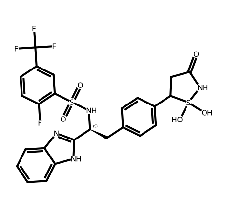 O=C1CC(c2ccc(C[C@H](NS(=O)(=O)c3cc(C(F)(F)F)ccc3F)c3nc4ccccc4[nH]3)cc2)S(O)(O)N1